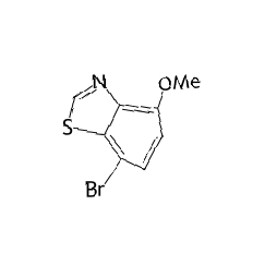 COc1ccc(Br)c2scnc12